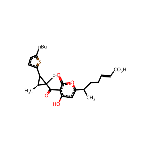 CCCCc1ccc(C2[C@H](C)C2(CC)C(=O)c2c(O)cc(C(C)CC/C=C/C(=O)O)oc2=O)s1